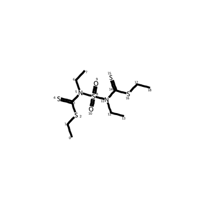 CCSC(=S)N(CC)S(=O)(=O)N(CC)C(=S)SCC